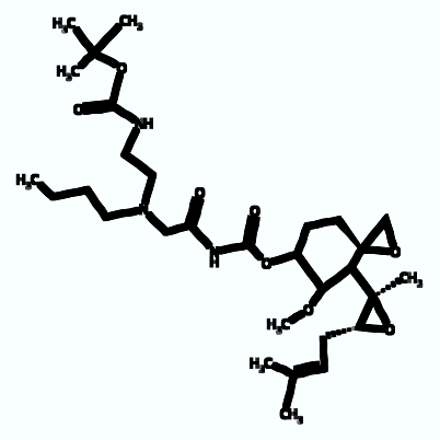 CCCCN(CCNC(=O)OC(C)(C)C)CC(=O)NC(=O)OC1CC[C@]2(CO2)C([C@@]2(C)O[C@@H]2CC=C(C)C)C1OC